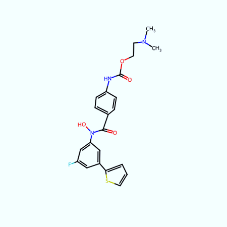 CN(C)CCOC(=O)Nc1ccc(C(=O)N(O)c2cc(F)cc(-c3cccs3)c2)cc1